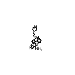 Cc1cccc(Cl)c1-c1c(NCCCN2CCN(C)CC2)ccc2c1nc(N)c1cncn12